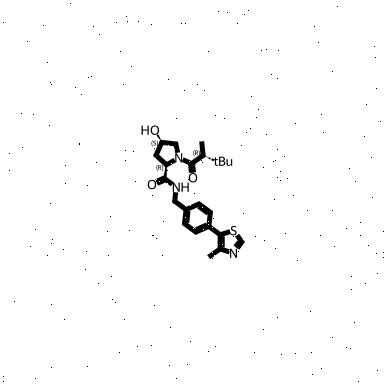 Cc1ncsc1-c1ccc(CNC(=O)[C@H]2C[C@H](O)CN2C(=O)[C@H](C)C(C)(C)C)cc1